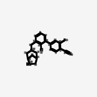 N#Cc1ccc(-c2cccc(CN3CC4CNC(C4)C3)c2Cl)cc1F